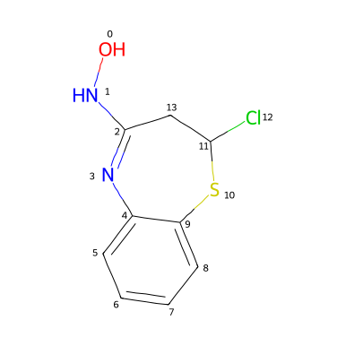 ONC1=Nc2ccccc2SC(Cl)C1